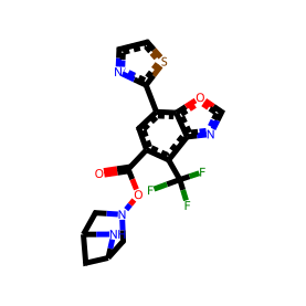 O=C(ON1CC2CC(C1)N2)c1cc(-c2nccs2)c2ocnc2c1C(F)(F)F